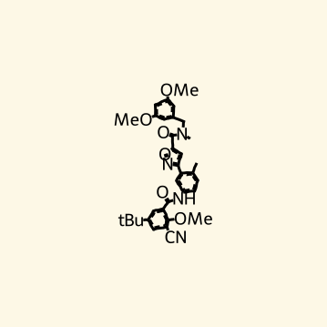 COc1cc(CN(C)C(=O)c2cc(-c3cc(NC(=O)c4cc(C(C)(C)C)cc(C#N)c4OC)ccc3C)no2)cc(OC)c1